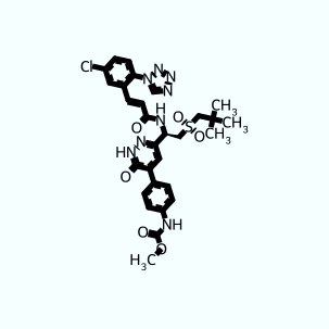 COC(=O)Nc1ccc(-c2cc([C@H](CS(=O)(=O)CC(C)(C)C)NC(=O)/C=C/c3cc(Cl)ccc3-n3cnnn3)n[nH]c2=O)cc1